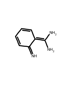 N=C1C=CC=CC1=C(N)N